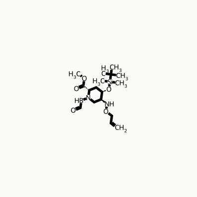 C=CCON[C@H]1CN(BC=O)[C@H](C(=O)OC)C[C@@H]1O[Si](C)(C)C(C)(C)C